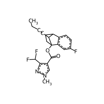 CCCCC1C2CCC1(OC(=O)c1cn(C)nc1C(F)F)c1cc(F)ccc12